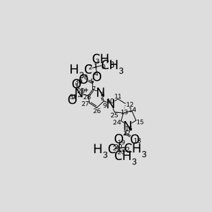 CC(C)(C)OC(=O)c1nc(N2CC[C@@]3(CCN(C(=O)OC(C)(C)C)C3)C2)ccc1[N+](=O)[O-]